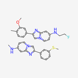 CNc1ccn2cc(-c3cccc(SC)c3)nc2c1.COc1cc(-c2cn3ccc(NCCF)cc3n2)ccc1C